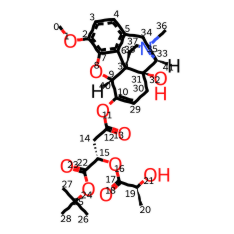 COc1ccc2c3c1O[C@H]1C(OC(=O)C[C@H](OC(=O)[C@H](C)O)C(=O)OC(C)(C)C)=CC[C@@]4(O)[C@@H](C2)N(C)CC[C@]314